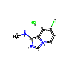 CNc1ncn2ccc(Cl)cc12.Cl